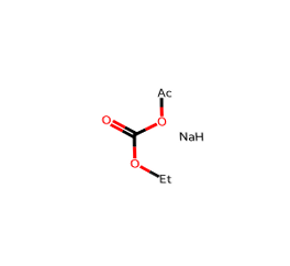 CCOC(=O)OC(C)=O.[NaH]